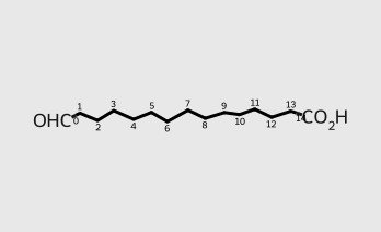 O=CCCCCCCCCCCCCCC(=O)O